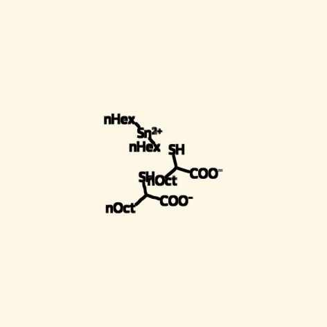 CCCCCCCCC(S)C(=O)[O-].CCCCCCCCC(S)C(=O)[O-].CCCCC[CH2][Sn+2][CH2]CCCCC